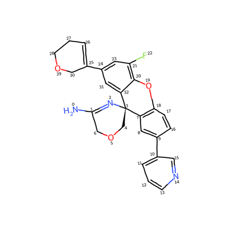 NC1=N[C@@]2(COC1)c1cc(-c3cccnc3)ccc1Oc1c(F)cc(C3=CCCOC3)cc12